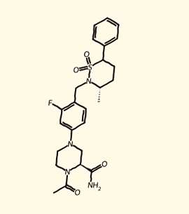 CC(=O)N1CCN(c2ccc(CN3[C@@H](C)CCC(c4ccccc4)S3(=O)=O)c(F)c2)C[C@H]1C(N)=O